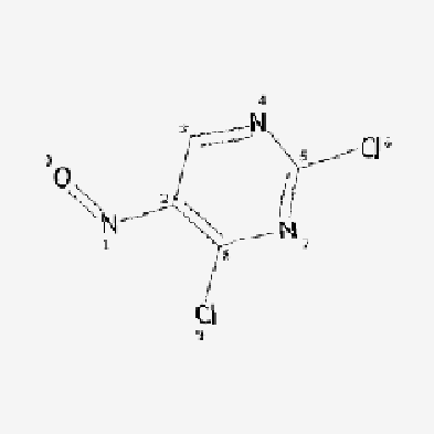 O=Nc1cnc(Cl)nc1Cl